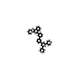 c1cc(-c2cccc(-c3nc4c(nc5ccccn54)c4ccccc34)c2)cc(-c2cc(-c3ccncc3)nc(-c3ccncc3)c2)c1